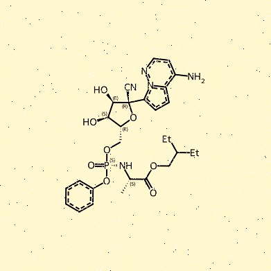 CCC(CC)COC(=O)[C@H](C)N[P@](=O)(OC[C@H]1O[C@@](C#N)(c2ccc3c(N)ccnn23)[C@H](O)[C@@H]1O)Oc1ccccc1